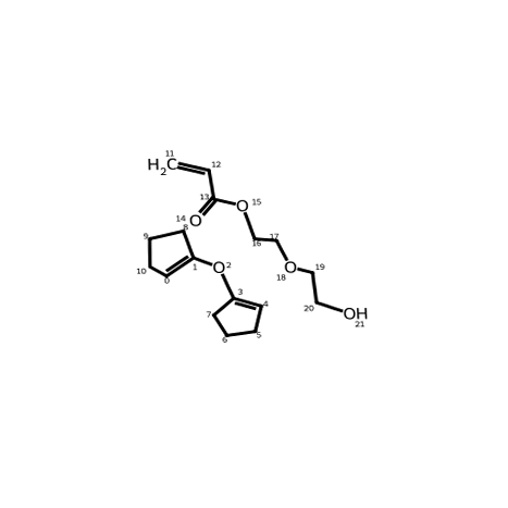 C1=C(OC2=CCCC2)CCC1.C=CC(=O)OCCOCCO